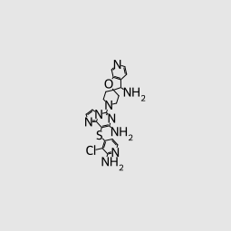 Nc1nccc(Sc2c(N)nc(N3CCC4(CC3)Oc3cnccc3C4N)n3ccnc23)c1Cl